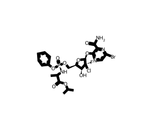 CC(C)OC(=O)C(C)N[P@@](=O)(OC[C@H]1O[C@@H](Oc2ncc(Br)nc2C(N)=O)[C@@](F)(Cl)[C@@H]1O)Oc1ccccc1